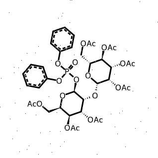 CC(=O)OC[C@H]1O[C@@H](OP(=O)(Oc2ccccc2)Oc2ccccc2)[C@H](O[C@@H]2O[C@H](COC(C)=O)[C@@H](OC(C)=O)[C@H](OC(C)=O)[C@@H]2OC(C)=O)[C@H](OC(C)=O)[C@H]1OC(C)=O